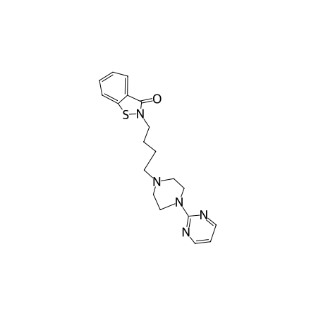 O=c1c2ccccc2sn1CCCCN1CCN(c2ncccn2)CC1